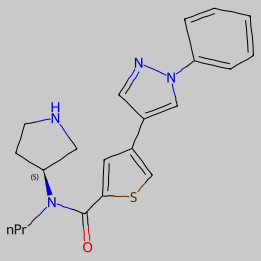 CCCN(C(=O)c1cc(-c2cnn(-c3ccccc3)c2)cs1)[C@H]1CCNC1